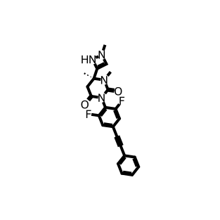 CN1C(=O)N(c2c(F)cc(C#Cc3ccccc3)cc2F)C(=O)C[C@@]1(C)c1cn(C)[nH]1